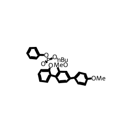 CCCCOP(=O)(Oc1ccccc1)Oc1ccccc1-c1ccc(-c2ccc(OC)cc2)cc1OC